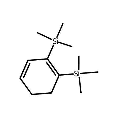 C[Si](C)(C)C1=C([Si](C)(C)C)CCC=C1